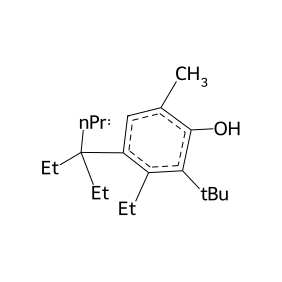 CC[C]C(CC)(CC)c1cc(C)c(O)c(C(C)(C)C)c1CC